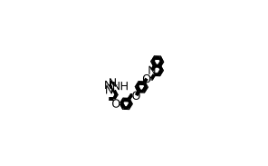 CC(Cc1nnn[nH]1)Oc1cccc(COc2ccc(OCc3ccc4ccccc4n3)cc2)c1